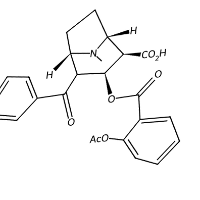 CC(=O)Oc1ccccc1C(=O)O[C@H]1C(C(=O)c2ccccc2)[C@@H]2CC[C@H]([C@H]1C(=O)O)N2C